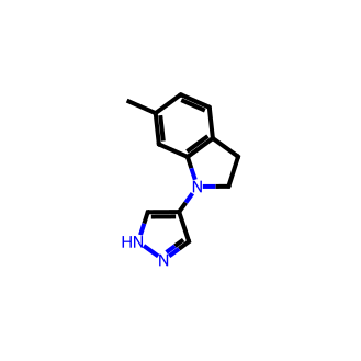 Cc1ccc2c(c1)N(c1cn[nH]c1)CC2